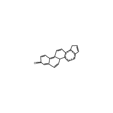 O=C1C=CC2=C3C=Cc4c(ccc5c4CC=C5)C3C=CC2=C1